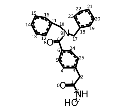 O=C(Cc1ccc(C(=O)N(Cc2ccccc2)Cc2ccccc2)cc1)NO